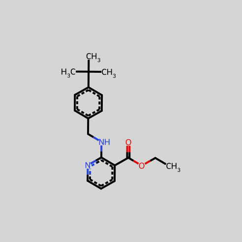 CCOC(=O)c1cccnc1NCc1ccc(C(C)(C)C)cc1